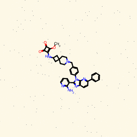 COc1c(NC2CC3(CCN(Cc4ccc(-n5c(-c6cccnc6N)nc6ccc(-c7ccccc7)nc65)cc4)CC3)C2)c(=O)c1=O